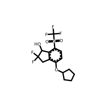 O=S(=O)(c1ccc(OC2CCCC2)c2c1C(O)C(F)(F)C2)C(F)(F)F